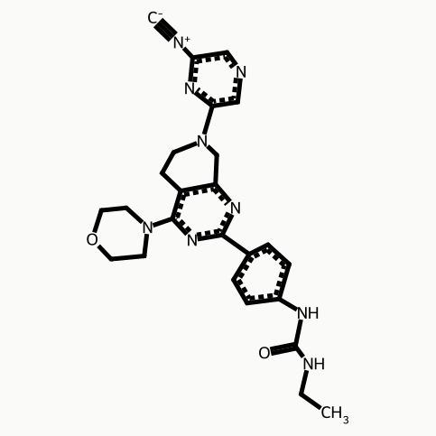 [C-]#[N+]c1cncc(N2CCc3c(nc(-c4ccc(NC(=O)NCC)cc4)nc3N3CCOCC3)C2)n1